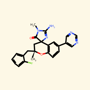 CN1C(=O)C2(C[C@@](C)(Cc3ccccc3F)Oc3ccc(-c4cncnc4)cc32)N=C1N